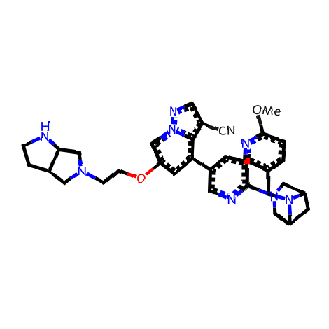 COc1ccc(CN2C3CC2CN(c2ccc(-c4cc(OCCN5CC6CCNC6C5)cn5ncc(C#N)c45)cn2)C3)cn1